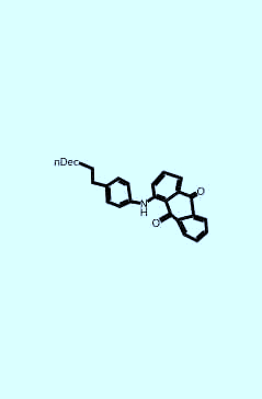 CCCCCCCCCCCCc1ccc(Nc2cccc3c2C(=O)c2ccccc2C3=O)cc1